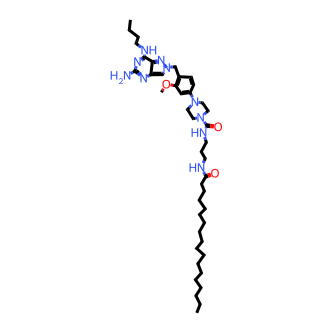 CCCCCCCCCCCCCCCCCC(=O)NCCCNC(=O)N1CCN(c2ccc(Cn3cc4nc(N)nc(NCCCC)c4n3)c(OC)c2)CC1